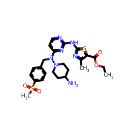 CCOC(=O)c1sc(Nc2nccc(N(Cc3ccc(S(C)(=O)=O)cc3)N3CCC(N)CC3)n2)nc1C